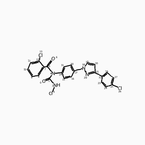 O=C(NCl)N(C(=O)c1ccccc1Cl)c1ccc(-n2ccc(-c3ccc(Cl)cc3)n2)cc1